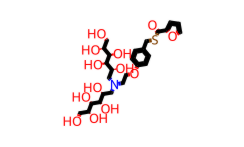 O=C(SCc1ccc(OCCN(C[C@@H](O)[C@@H](O)[C@H](O)[C@H](O)CO)C[C@@H](O)[C@@H](O)[C@H](O)[C@H](O)CO)cc1)c1ccco1